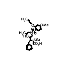 C=CCCOc1cc(OC)ccc1S(=O)(=O)N(CC=C)C[C@@H](O)[C@H](Cc1ccccc1)N(C(=O)O)C(C)(C)C